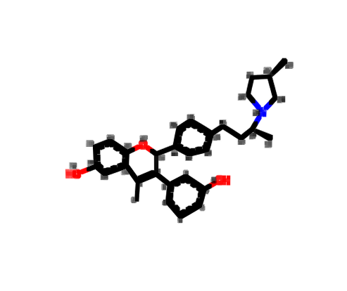 CC1=C(c2cccc(O)c2)C(c2ccc(CC[C@H](C)N3CC[C@@H](C)C3)cc2)Oc2ccc(O)cc21